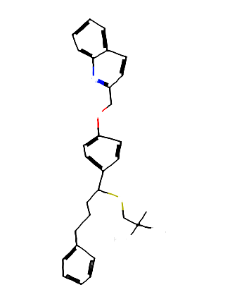 CC(C)(CSC(CCCc1ccccc1)c1ccc(OCc2ccc3ccccc3n2)cc1)C(=O)O